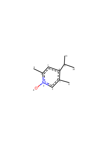 Cc1c[n+]([O-])c(C)cc1C(C)C